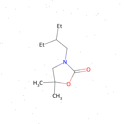 CCC(CC)CN1CC(C)(C)OC1=O